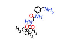 CC(C)(C)OC(=O)NCC(=O)Nc1cccc(CN)c1